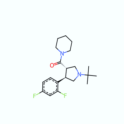 CC(C)(C)N1C[C@@H](C(=O)N2CCCCC2)[C@H](c2ccc(F)cc2F)C1